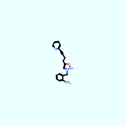 Cc1ccccc1CN1C=C(CCC#Cc2ccccn2)ON1